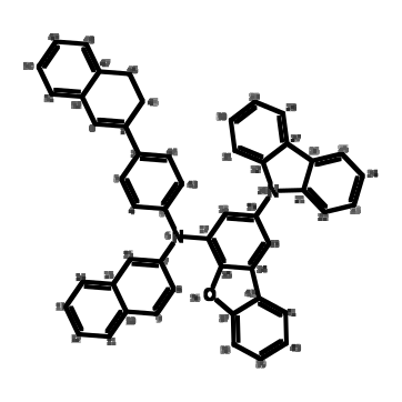 C1=C(c2ccc(N(c3ccc4ccccc4c3)c3cc(-n4c5ccccc5c5ccccc54)cc4c3oc3ccccc34)cc2)CCc2ccccc21